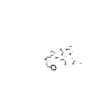 CC[C@H](C)[C@@H]([C@@H](CC(=O)N1CCC[C@H]1[C@H](OC)[C@@H](C)C(=O)N[C@H](C)[C@@H](O)c1ccccc1)OC)N(C)C(O)[C@@H](NC(=O)[C@H](C(C)C)N(C)C(=O)OC[C@H](SSI)C(C)C)C(C)C